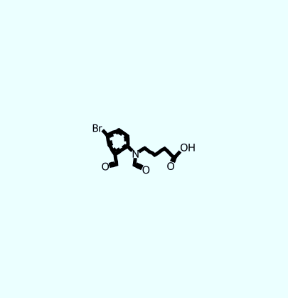 O=Cc1cc(Br)ccc1N(C=O)CCCC(=O)O